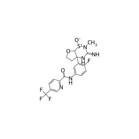 CN1C(=N)NC2(c3cc(NC(=O)c4ccc(C(F)(F)F)cn4)ccc3F)CCOC2[S+]1[O-]